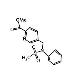 COC(=O)c1ccc(CN(c2ccccc2)S(C)(=O)=O)cn1